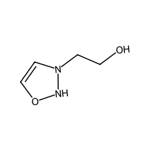 OCCN1C=CON1